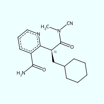 CN(C#N)C(=O)[C@@H](CC1CCCCC1)c1ncccc1C(N)=O